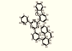 c1ccc(-c2nc(-c3cccc(-c4cccc5ccc6ccccc6c45)c3)nc(-c3cccc4c3oc3ccccc34)n2)nc1